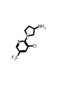 NC1CCN(c2ncc(C(F)(F)F)cc2Cl)C1